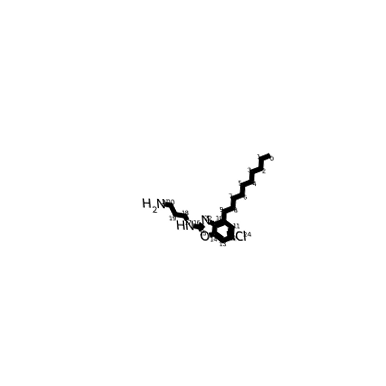 CCCCCCCCCCc1cccc2oc(NCCCN)nc12.Cl